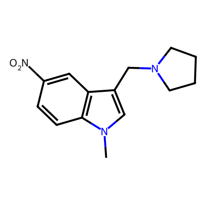 Cn1cc(CN2CCCC2)c2cc([N+](=O)[O-])ccc21